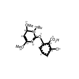 CCCCN1C(Oc2cccc(Cl)c2C(=O)O)=NC(OC)=CC1OC